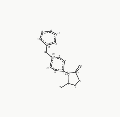 CC1CCC(=O)N1c1cc[n+](Cc2ccccc2)cc1